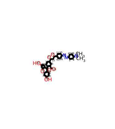 CN(C)c1ccc(N=Nc2ccc(C(=O)CC(=O)c3ccc4c(c3)C(=O)OC43c4ccc(O)cc4Oc4cc(O)ccc43)cc2)cc1